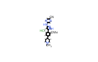 COc1cc(C2CCN(C)CC2)ccc1-c1cc(Nc2cnc(C#N)cn2)n[nH]1.Cl